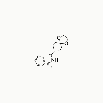 CC(N[C@H](C)c1ccccc1)C1CCC2(CC1)OCCO2